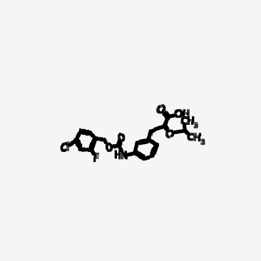 CC(C)OC(Cc1cccc(NC(=O)OCc2ccc(Cl)cc2F)c1)C(=O)O